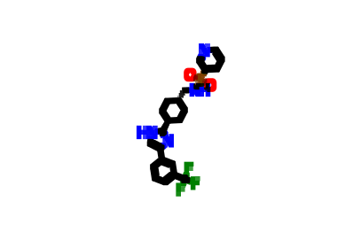 O=S(=O)(NC[C@H]1CC[C@H](c2nc(-c3cccc(C(F)(F)F)c3)c[nH]2)CC1)c1cccnc1